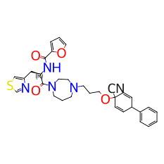 N#CC1(OCCCN2CCCN(C(=O)[C@@H](Cc3cscn3)NC(=O)c3ccco3)CC2)C=CC(c2ccccc2)C=C1